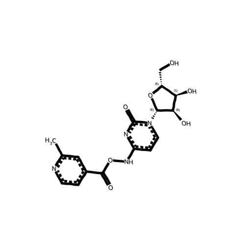 Cc1cc(C(=O)ONc2ccn([C@@H]3O[C@H](CO)[C@@H](O)[C@H]3O)c(=O)n2)ccn1